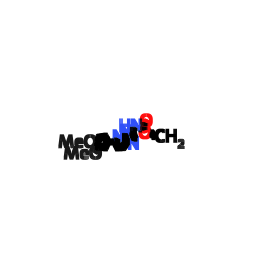 C=CCOC(=O)Nc1cnc2ccc(-c3ccc(OC)c(OC)c3)nc2n1